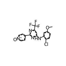 COc1ccc(Cl)c(Nc2cc(C(F)(F)F)nc(-c3cc[n+]([O-])cc3)n2)c1